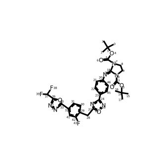 CC(C)(C)OC(=O)N1CCN(C(=O)OC(C)(C)C)C1=Nc1ccc(-c2noc(Cc3ccc(-c4nnc(C(F)F)o4)cc3F)n2)cc1